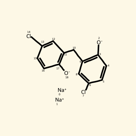 [Na+].[Na+].[O-]c1ccc(Cl)cc1Cc1cc(Cl)ccc1[O-]